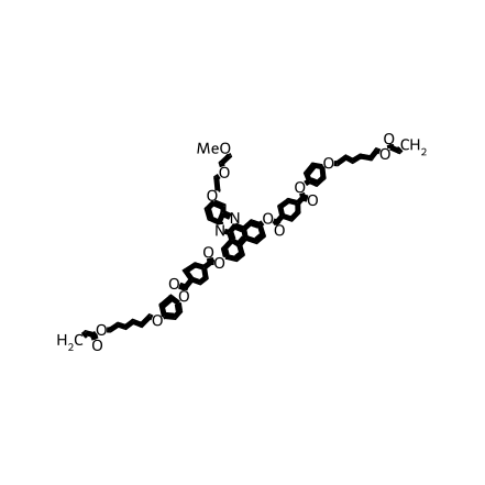 C=CC(=O)OCCCCCCOc1ccc(OC(=O)C2CCC(C(=O)Oc3ccc4c5ccc(OC(=O)C6CCC(C(=O)OC7=CCC(OCCCCCCOC(=O)C=C)C=C7)CC6)cc5c5nc6cc(OCCOCCOC)ccc6nc5c4c3)CC2)cc1